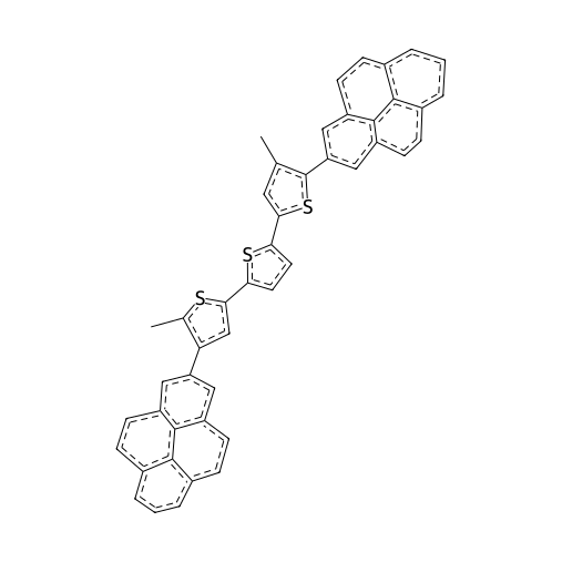 Cc1cc(-c2ccc(-c3cc(-c4cc5ccc6cccc7ccc(c4)c5c67)c(C)s3)s2)sc1-c1cc2ccc3cccc4ccc(c1)c2c34